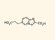 O=C(O)CCc1ccc2nc(C(=O)O)cn2c1